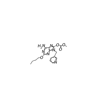 CCCCOc1nc(N)c2nc(OC(=O)OC)n(Cc3cccnc3)c2n1